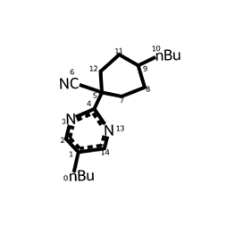 CCCCc1cnc(C2(C#N)CCC(CCCC)CC2)nc1